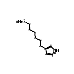 CCCCCCCCCCCCc1cc[nH]c1